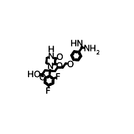 N=C(N)c1ccc(OCCCCC(CC(=O)O)(c2ccc(F)cc2F)N2CCNC(=O)C2=O)cc1